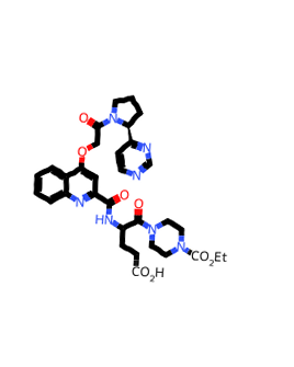 CCOC(=O)N1CCN(C(=O)C(CCC(=O)O)NC(=O)c2cc(OCC(=O)N3CCC[C@H]3c3ccncn3)c3ccccc3n2)CC1